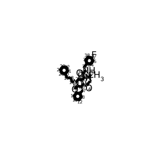 CN1CC(=O)N2[C@@H](Cc3ccccc3)C(=O)N(CCCc3ccccc3)C[C@@H]2N1C(=O)NCc1ccc(F)cc1